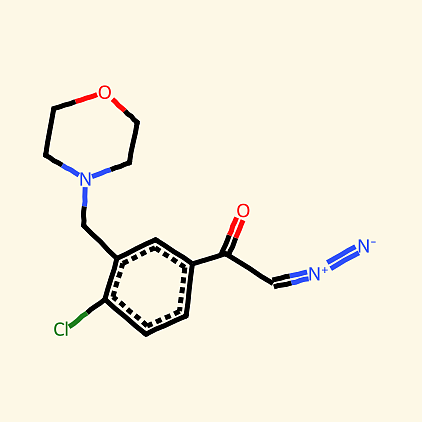 [N-]=[N+]=CC(=O)c1ccc(Cl)c(CN2CCOCC2)c1